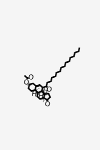 CCCCCCCCCCCCCCCC(=O)C1C=C2C[C@@H](OC(C)=O)CC[C@]2(C)[C@H]2CC[C@]3(C)C(=O)CC[C@H]3[C@H]12